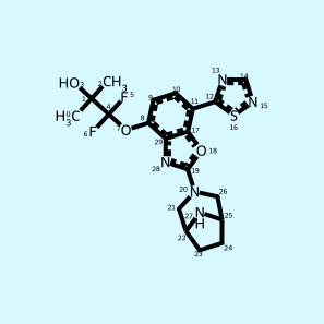 CC(C)(O)C(F)(F)Oc1ccc(-c2ncns2)c2oc(N3CC4CCC(C3)N4)nc12